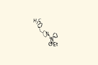 CCC(=O)N(CCN1CCC(Cc2ccc(C)cc2)CC1)c1ccccc1